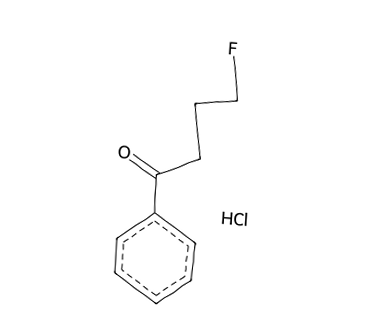 Cl.O=C(CCCF)c1ccccc1